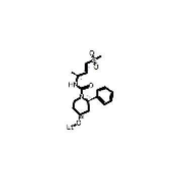 CCO[C@H]1CCN(C(=O)N[C@@H](C)/C=C/S(C)(=O)=O)[C@@H](c2ccccc2)C1